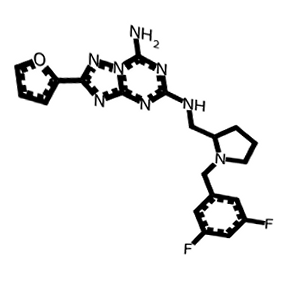 Nc1nc(NCC2CCCN2Cc2cc(F)cc(F)c2)nc2nc(-c3ccco3)nn12